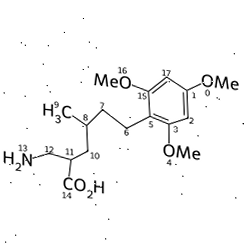 COc1cc(OC)c(CCC(C)CC(CN)C(=O)O)c(OC)c1